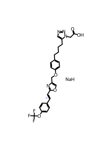 O=C(O)Cn1nncc1CCCCc1ccc(OCc2coc(/C=C/c3ccc(OC(F)(F)F)cc3)n2)cc1.[NaH]